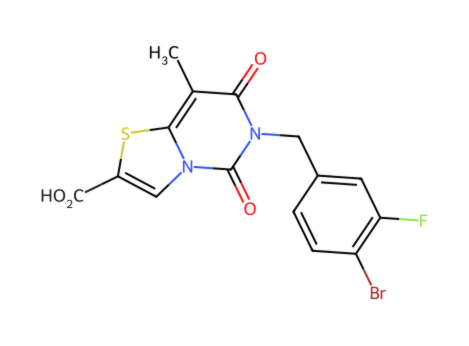 Cc1c(=O)n(Cc2ccc(Br)c(F)c2)c(=O)n2cc(C(=O)O)sc12